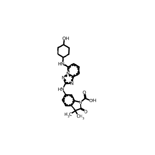 CC1(C)C(=O)N(C(=O)O)c2cc(Nc3nc4cccc(NC5CCC(O)CC5)n4n3)ccc21